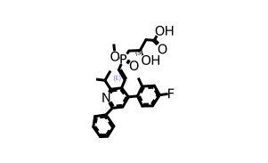 COP(=O)(/C=C/c1c(-c2ccc(F)cc2C)cc(-c2ccccc2)nc1C(C)C)C[C@@H](O)CC(=O)O